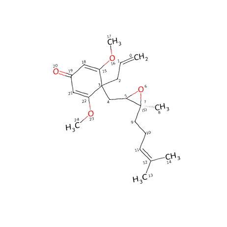 C=CCC1(CC2O[C@@]2(C)CCC=C(C)C)C(OC)=CC(=O)C=C1OC